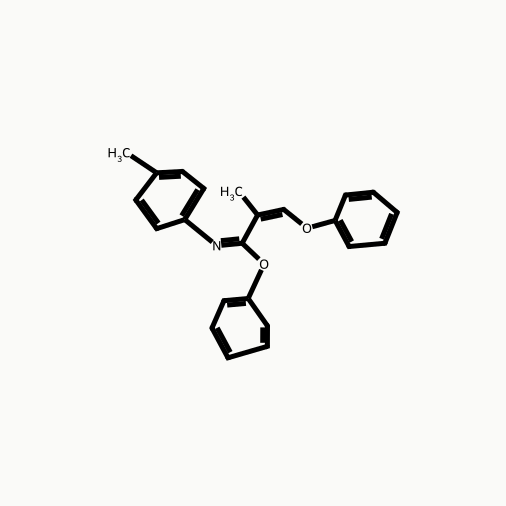 CC(=COc1ccccc1)C(=Nc1ccc(C)cc1)Oc1ccccc1